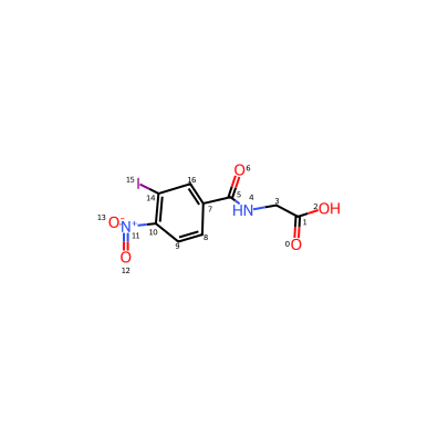 O=C(O)CNC(=O)c1ccc([N+](=O)[O-])c(I)c1